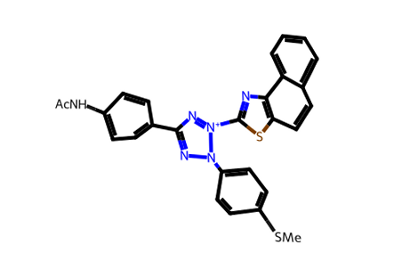 CSc1ccc(-n2nc(-c3ccc(NC(C)=O)cc3)n[n+]2-c2nc3c(ccc4ccccc43)s2)cc1